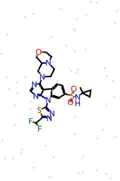 CC1(NS(=O)(=O)c2ccc3c4c(N5CCN6CCOCC6C5)ncnc4n(-c4nnc(C(F)F)s4)c3c2)CC1